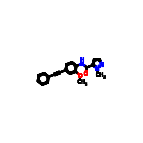 COc1cc(C#Cc2ccccc2)ccc1NC(=O)c1ccnn1C